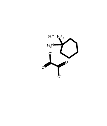 NC1(N)CCCCC1.O=C([O-])C(=O)[O-].[Pt+2]